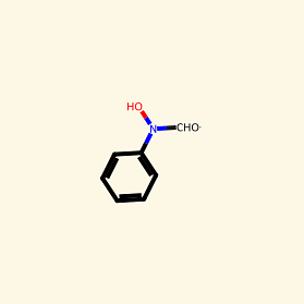 O=[C]N(O)c1ccccc1